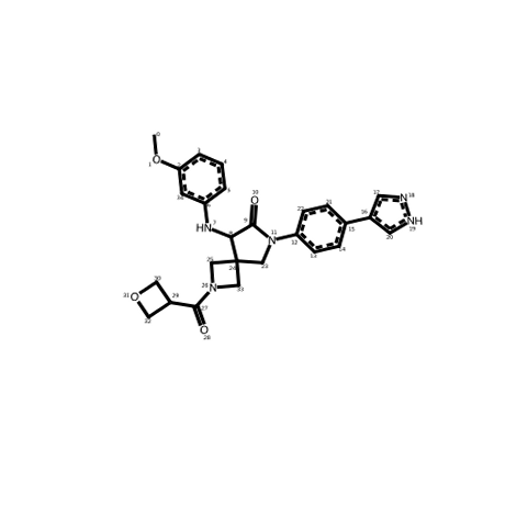 COc1cccc(NC2C(=O)N(c3ccc(-c4cn[nH]c4)cc3)CC23CN(C(=O)C2COC2)C3)c1